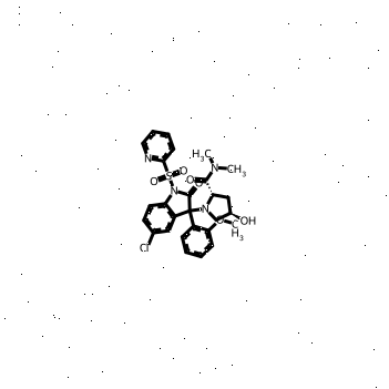 COc1ccccc1C1(N2C[C@H](O)C[C@H]2C(=O)N(C)C)C(=O)N(S(=O)(=O)c2ccccn2)c2ccc(Cl)cc21